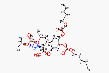 CCCCCOC(=O)Oc1ccc(C(CC(C)OC(=O)OC(C)C)[C@H](N)C(=O)O)cc1OC(=O)OCCCCC